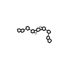 c1cc(-c2ccc3ccccc3c2)cc(-c2ccc3oc4cc5c(cc4c3c2)oc2ccc(-c3cccc(-c4ccc6ccccc6c4)c3)cc25)c1